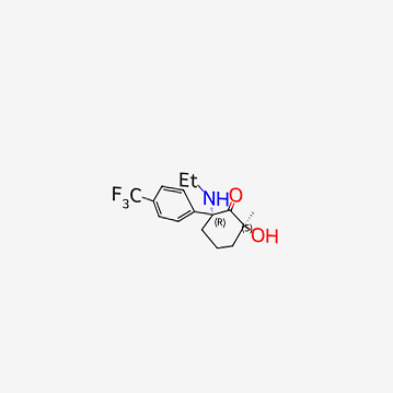 CCN[C@@]1(c2ccc(C(F)(F)F)cc2)CCC[C@](C)(O)C1=O